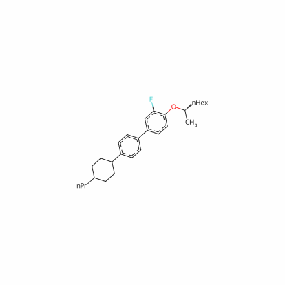 CCCCCC[C@@H](C)Oc1ccc(-c2ccc(C3CCC(CCC)CC3)cc2)cc1F